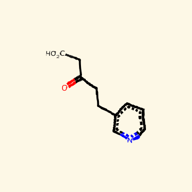 O=C(O)CC(=O)CCc1cccnc1